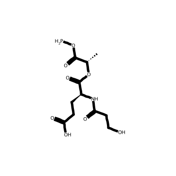 C[C@H](OC(=O)[C@H](CCC(=O)O)NC(=O)CCO)C(=O)OP